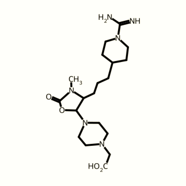 CN1C(=O)OC(N2CCN(CC(=O)O)CC2)C1CCCC1CCN(C(=N)N)CC1